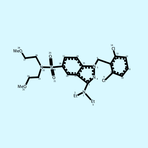 CCN(CC)c1nn(Cc2c(Cl)cccc2Cl)c2ccc(S(=O)(=O)N(CCOC)CCOC)cc12